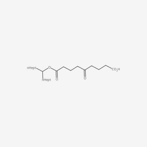 CCCCCCCC(CCCCCCC)OC(=O)CCCC(=O)CCCC(=O)O